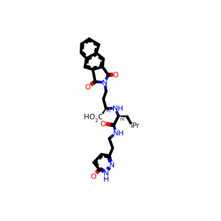 CC(C)C[C@H](N[C@H](CCN1C(=O)c2cc3ccccc3cc2C1=O)C(=O)O)C(=O)NCCc1ccc(=O)[nH]n1